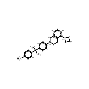 Cc1ccc(C(C)(C)c2ccc(N3CCc4c(ncnc4N4CCC4)C3)cc2)cc1